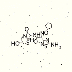 Nc1nc(C(=NOC2CCCC2)C(=O)NC2C(=O)N3CC(O)CS[C@H]23)ns1